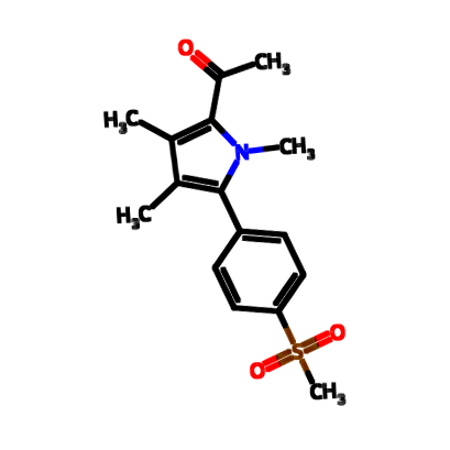 CC(=O)c1c(C)c(C)c(-c2ccc(S(C)(=O)=O)cc2)n1C